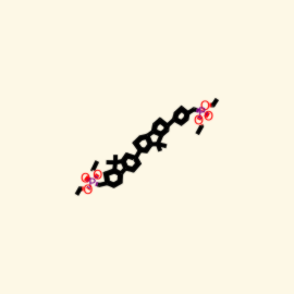 CCOP(=O)(Cc1ccc(-c2ccc3c(c2)C(C)(C)c2cc(-c4ccc5c(c4)C(C)(C)c4cc(CP(=O)(OCC)OCC)ccc4-5)ccc2-3)cc1)OCC